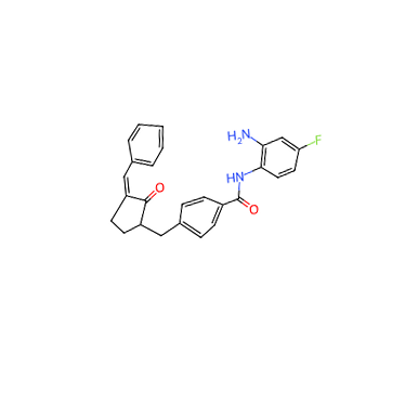 Nc1cc(F)ccc1NC(=O)c1ccc(CC2CCC(=Cc3ccccc3)C2=O)cc1